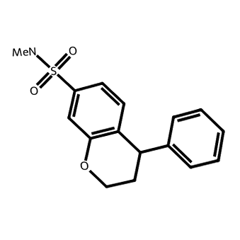 CNS(=O)(=O)c1ccc2c(c1)OCCC2c1ccccc1